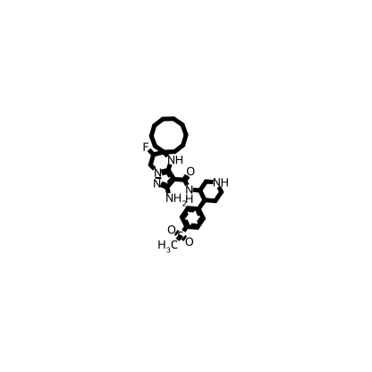 CS(=O)(=O)c1ccc(C2CCNCC2NC(=O)c2c(N)nn3c2NC2(CCCCCCCCC2)C(F)C3)cc1